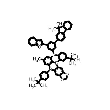 Cc1cc2c3c(c1)N(c1ccc(C(C)(C)C)cc1)c1cc4c(cc1B3c1cc(C(C)(C)C)ccc1N2c1cc(-c2ccc3c(c2)C(C)(C)c2ccccc2-3)cc(-c2cc3ccccc3o2)c1)OCO4